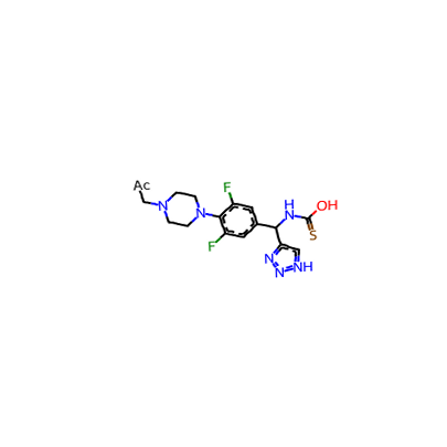 CC(=O)CN1CCN(c2c(F)cc(C(NC(O)=S)c3c[nH]nn3)cc2F)CC1